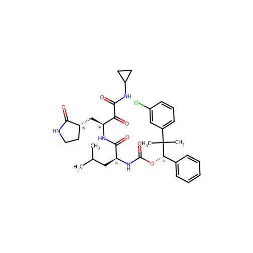 CC(C)C[C@H](NC(=O)O[C@@H](c1ccccc1)C(C)(C)c1cccc(Cl)c1)C(=O)N[C@@H](C[C@@H]1CCNC1=O)C(=O)C(=O)NC1CC1